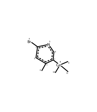 Cc1cc(Br)nc[c]1[Ge]([CH3])([CH3])[CH3]